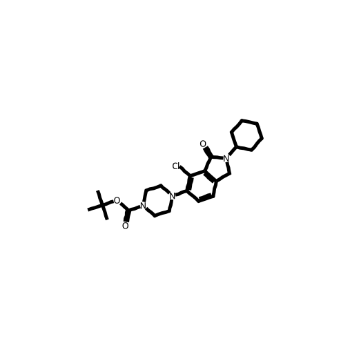 CC(C)(C)OC(=O)N1CCN(c2ccc3c(c2Cl)C(=O)N(C2CCCCC2)C3)CC1